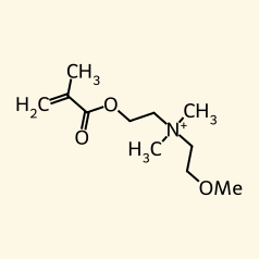 C=C(C)C(=O)OCC[N+](C)(C)CCOC